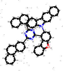 c1ccc2cc3c(cc2c1)c1ccccc1n3-c1ccc2oc3ccccc3c2c1-c1nc(-c2ccc3c(ccc4ccccc43)c2)nc(-c2cccc3ccccc23)n1